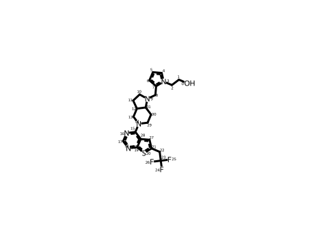 OCCn1cccc1CN1CCC2CN(c3ncnc4sc(CC(F)(F)F)cc34)CCC21